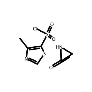 Cc1ncsc1S(=O)(=O)Cl.O=C1CN1